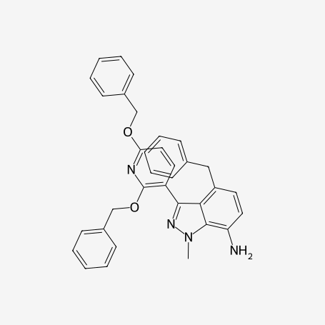 Cn1nc(-c2ccc(OCc3ccccc3)nc2OCc2ccccc2)c2c(Cc3ccccc3)ccc(N)c21